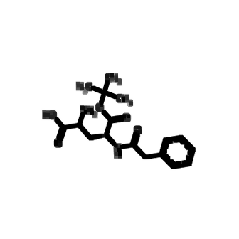 CC(C)(C)OC(=O)[C@H](CC(N)C(=O)O)NC(=O)Cc1ccccc1